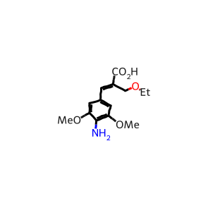 CCOCC(=Cc1cc(OC)c(N)c(OC)c1)C(=O)O